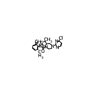 Cc1cccc(C)c1NC(=O)N1CCN(c2nccc(Cl)n2)CC1C(C)C